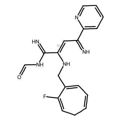 N=C(NC=O)/C(=C/C(=N)c1ccccn1)NCC1=CC=CCC=C1F